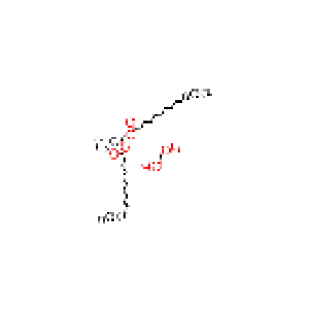 CCCCCCCC/C=C/CCCCCCCC(=O)OCC(C)OC(=O)CCCCCCC/C=C/CCCCCCCC.OCCO